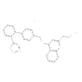 CCCc1cc(OCc2ccc(-c3ccccc3-c3nnn[nH]3)cc2)c2ccccc2n1.Cl